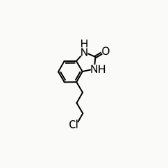 O=c1[nH]c2cccc(CCCCl)c2[nH]1